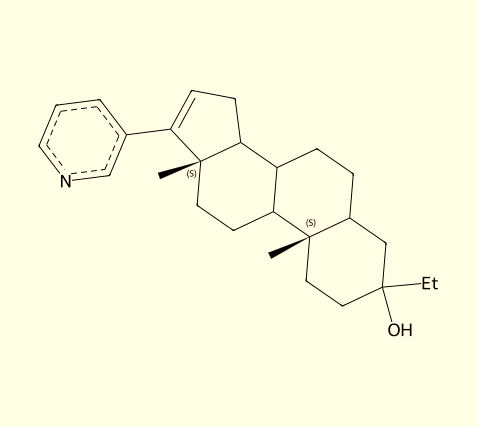 CCC1(O)CC[C@@]2(C)C(CCC3C2CC[C@]2(C)C(c4cccnc4)=CCC32)C1